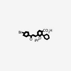 CC(C)Oc1c(/C=C/C(=O)c2ccc(Br)cc2)ccc(C(=O)O)c1C1CCCCC1